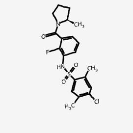 Cc1cc(S(=O)(=O)Nc2cccc(C(=O)N3CCC[C@H]3C)c2F)c(C)cc1Cl